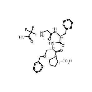 NCC(=O)N[C@@H](Cc1ccccc1)C(=O)N[C@@H](COCc1ccccc1)C(=O)N1CCC[C@H]1C(=O)O.O=C(O)C(F)(F)F